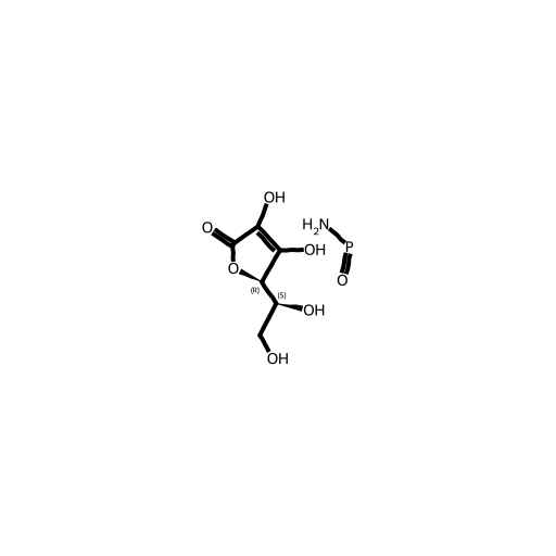 NP=O.O=C1O[C@H]([C@@H](O)CO)C(O)=C1O